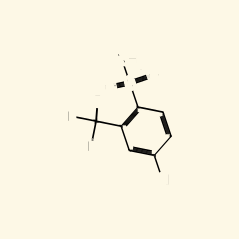 NS(=O)(=O)c1ccc(Cl)cc1C(F)(F)F